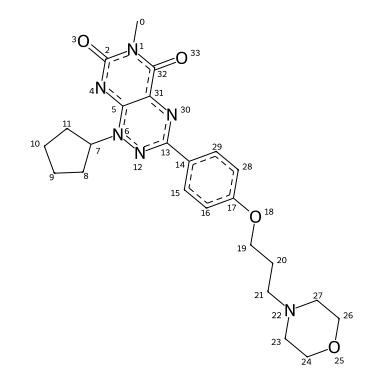 Cn1c(=O)nc2n(C3CCCC3)nc(-c3ccc(OCCCN4CCOCC4)cc3)nc-2c1=O